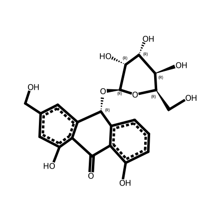 O=C1c2c(O)cccc2[C@@H](O[C@@H]2O[C@H](CO)[C@H](O)[C@@H](O)[C@H]2O)c2cc(CO)cc(O)c21